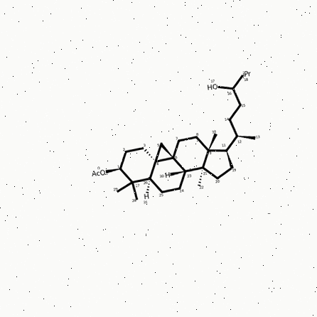 CC(=O)O[C@H]1CC[C@]23C[C@]24CC[C@]2(C)[C@@H]([C@H](C)CCC(O)C(C)C)CC[C@@]2(C)[C@@H]4CC[C@H]3C1(C)C